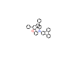 c1ccc(-c2ccc(N(c3ccc4c5ccccc5c5ccccc5c4c3)c3cccc4oc5c(-c6ccccc6)cc6ccccc6c5c34)cc2)cc1